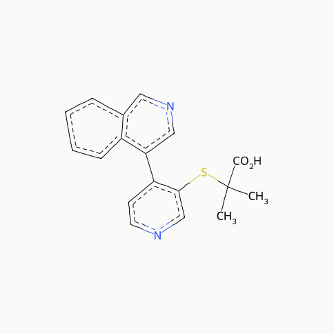 CC(C)(Sc1cnccc1-c1cncc2ccccc12)C(=O)O